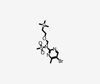 Cc1nc(N(COCC[Si](C)(C)C)S(C)(=O)=O)ncc1Br